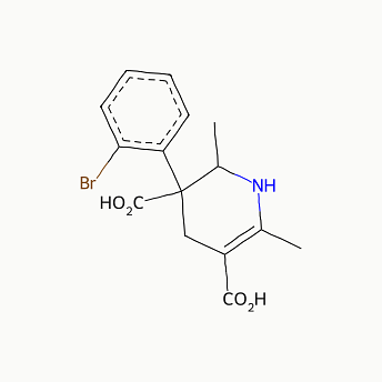 CC1=C(C(=O)O)CC(C(=O)O)(c2ccccc2Br)C(C)N1